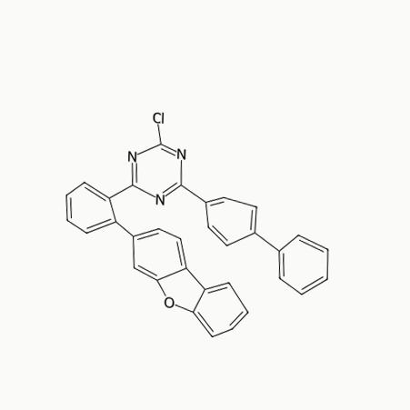 Clc1nc(-c2ccc(-c3ccccc3)cc2)nc(-c2ccccc2-c2ccc3c(c2)oc2ccccc23)n1